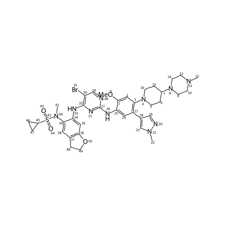 COc1cc(N2CCC(N3CCN(C)CC3)CC2)c(-c2cnn(C)c2)cc1Nc1ncc(Br)c(Nc2cc3c(cc2N(C)S(=O)(=O)C2CC2)CCO3)n1